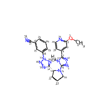 COc1cc(-c2nnc(N3CCC[C@@H]3c3nnn(-c4cccc(C#N)c4)n3)n2C)ccn1